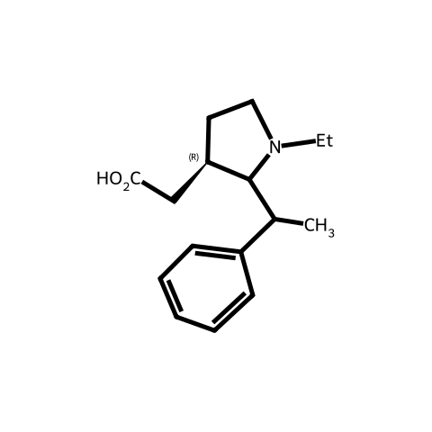 CCN1CC[C@H](CC(=O)O)C1C(C)c1ccccc1